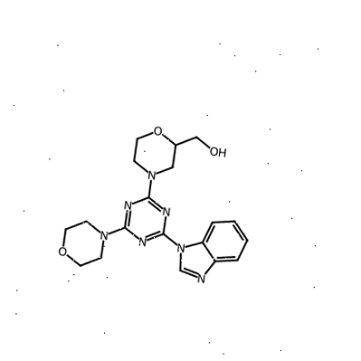 OCC1CN(c2nc(N3CCOCC3)nc(-n3cnc4ccccc43)n2)CCO1